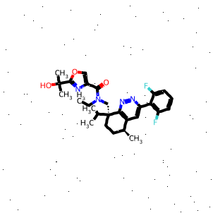 CCN(C[C@@]1(C(C)C)CC[C@H](C)c2cc(-c3c(F)cccc3F)nnc21)C(=O)c1coc(C(C)(C)O)n1